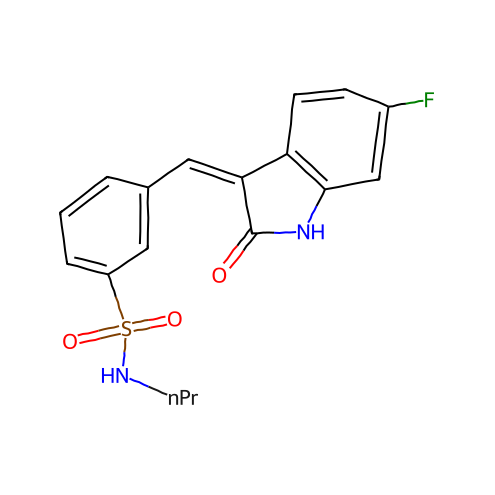 CCCNS(=O)(=O)c1cccc(C=C2C(=O)Nc3cc(F)ccc32)c1